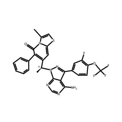 Cc1csc2cc([C@H](C)n3nc(-c4ccc(OC(F)(F)F)c(F)c4)c4c(N)ncnc43)c(-c3ccccc3)c(=O)n12